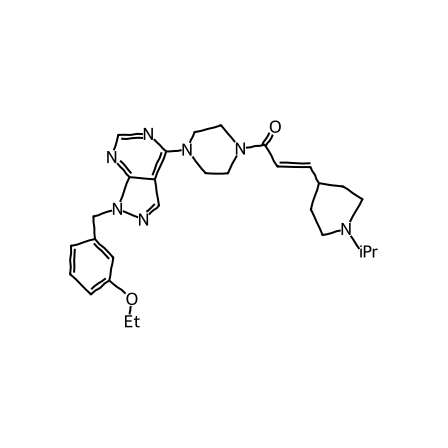 CCOc1cccc(Cn2ncc3c(N4CCN(C(=O)C=CC5CCN(C(C)C)CC5)CC4)ncnc32)c1